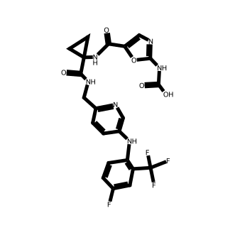 O=C(O)Nc1ncc(C(=O)NC2(C(=O)NCc3ccc(Nc4ccc(F)cc4C(F)(F)F)cn3)CC2)o1